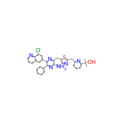 CC(C)(O)c1cccc(Cc2ncc(Cc3nc(-c4cc(Cl)c5ncccc5c4)c(-c4ccccc4)nc3N)s2)n1